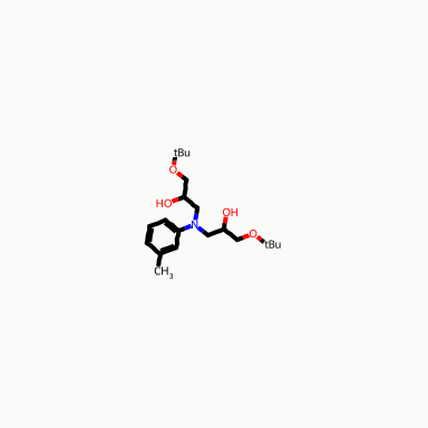 Cc1cccc(N(CC(O)COC(C)(C)C)CC(O)COC(C)(C)C)c1